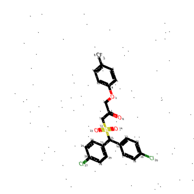 O=C(COc1ccc(C(F)(F)F)cc1)CS(=O)(=O)C(c1ccc(Cl)cc1)c1ccc(Cl)cc1